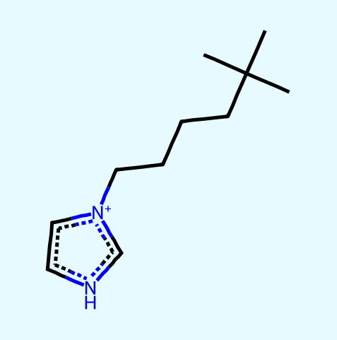 CC(C)(C)CCCC[n+]1cc[nH]c1